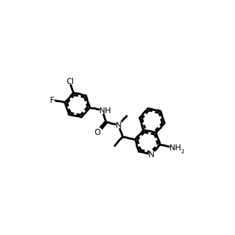 CC(c1cnc(N)c2ccccc12)N(C)C(=O)Nc1ccc(F)c(Cl)c1